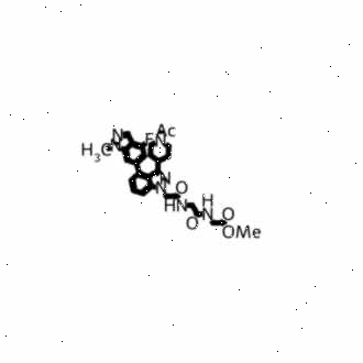 COC(=O)CNC(=O)CNC(=O)Cn1nc(C2CCN(C(C)=O)CC2)c2c(-c3cc(F)c4cnn(C)c4c3)cccc21